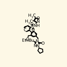 CCCCc1nn(C2CCCC2)c(=O)n1Cc1ccc(-c2ccccc2S(=O)(=O)Nc2noc(C)c2C)c(COCC)c1